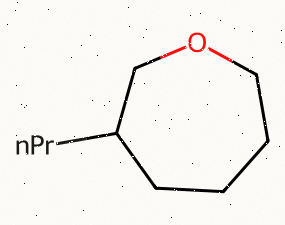 CCCC1CCCCOC1